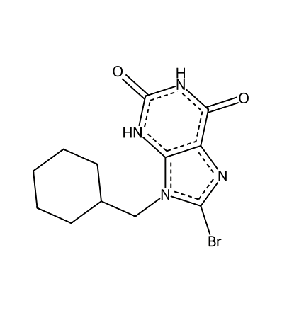 O=c1[nH]c(=O)c2nc(Br)n(CC3CCCCC3)c2[nH]1